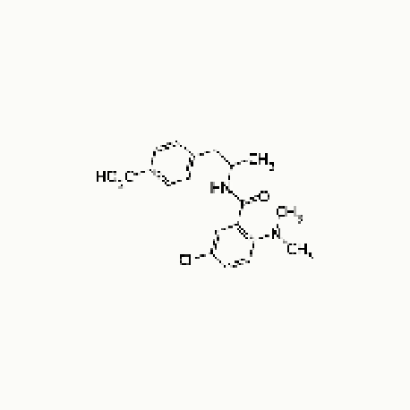 CC(Cc1ccc(C(=O)O)cc1)NC(=O)c1cc(Cl)ccc1N(C)C